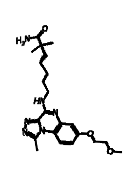 COCCOc1ccc2c(c1)nc(NCCCCCC(C)(C)C(N)=O)c1nnc(C)n12